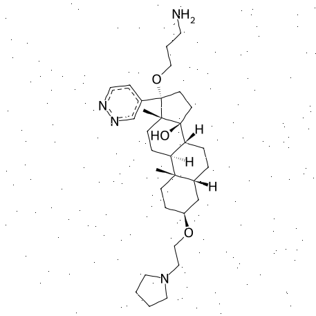 C[C@]12CC[C@H](OCCN3CCCC3)C[C@H]1CC[C@@H]1[C@@H]2CC[C@]2(C)[C@@](OCCCN)(c3ccnnc3)CC[C@]12O